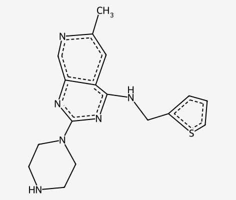 Cc1cc2c(NCc3cccs3)nc(N3CCNCC3)nc2cn1